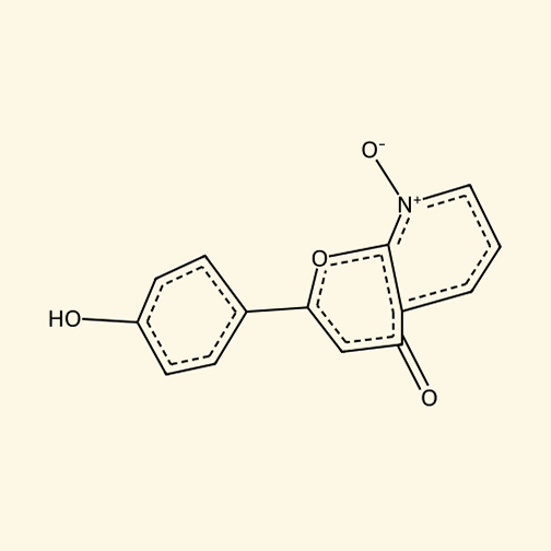 O=c1cc(-c2ccc(O)cc2)oc2c1ccc[n+]2[O-]